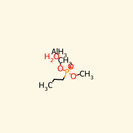 CCCP(=O)(OC)OC.O.[AlH3]